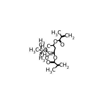 C=C(C)C(=O)OC(C)CC(OC(=O)C(=C)C)[SiH](C)O[Si](C)(C)C